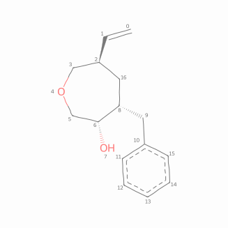 C=C[C@@H]1COC[C@@H](O)[C@@H](Cc2ccccc2)C1